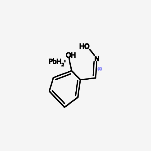 O/N=C\c1ccccc1O.[PbH2]